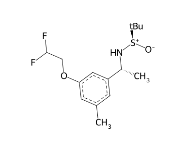 Cc1cc(OCC(F)F)cc([C@@H](C)N[S@+]([O-])C(C)(C)C)c1